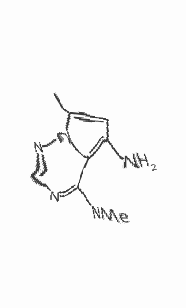 CNc1ncnn2c(C)cc(N)c12